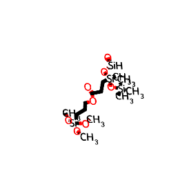 CO[Si](CCCOC(=O)CC[Si](C)(O[SiH]=O)O[Si](C)(C)C)(OC)OC